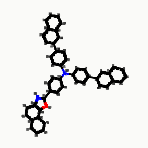 c1ccc2cc(-c3ccc(N(c4ccc(-c5ccc6ccccc6c5)cc4)c4ccc(-c5nc6ccc7ccccc7c6o5)cc4)cc3)ccc2c1